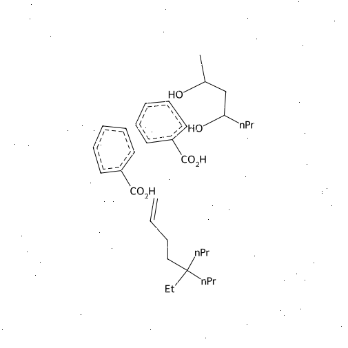 C=CCCC(CC)(CCC)CCC.CCCC(O)CC(C)O.O=C(O)c1ccccc1.O=C(O)c1ccccc1